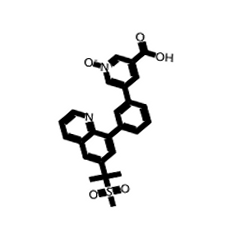 CC(C)(c1cc(-c2cccc(-c3cc(C(=O)O)c[n+]([O-])c3)c2)c2ncccc2c1)S(C)(=O)=O